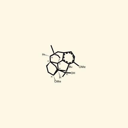 COc1ccc2c3c1O[C@@H]1[C@]34CCN(C)[C@H](C2)[C@]42CC[C@@]1(OC)C([C@@](C)(O)C(C)(C)C)C2